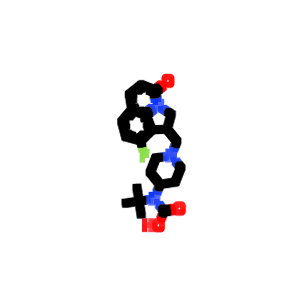 CC(C)(C)N(C(=O)O)C1CCN(CC2Cn3c(=O)ccc4ccc(F)c2c43)CC1